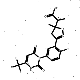 CC(C(=O)O)C1(C)CC(c2cc(-n3c(=O)cc(C(F)(F)F)[nH]c3=O)ccc2Cl)=NO1